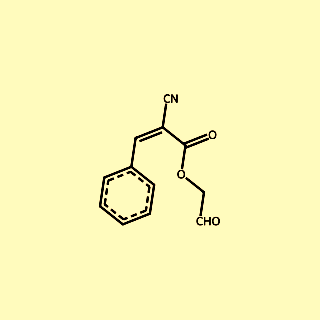 N#CC(=Cc1ccccc1)C(=O)OCC=O